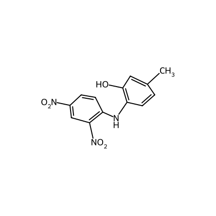 Cc1ccc(Nc2ccc([N+](=O)[O-])cc2[N+](=O)[O-])c(O)c1